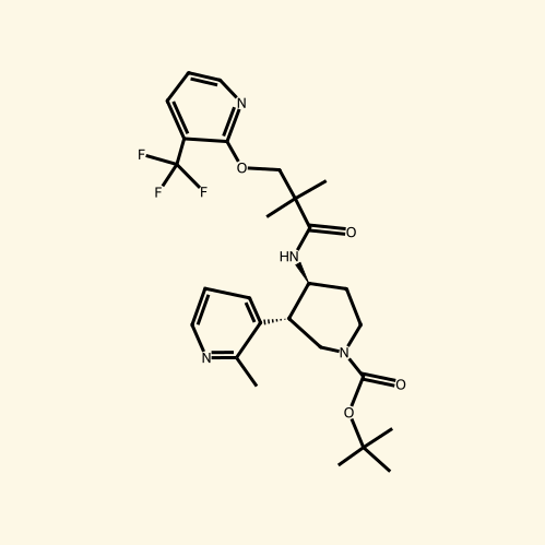 Cc1ncccc1[C@H]1CN(C(=O)OC(C)(C)C)CC[C@@H]1NC(=O)C(C)(C)COc1ncccc1C(F)(F)F